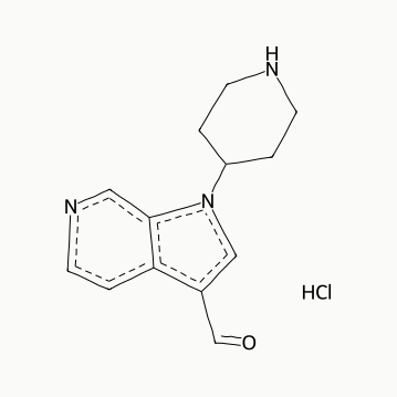 Cl.O=Cc1cn(C2CCNCC2)c2cnccc12